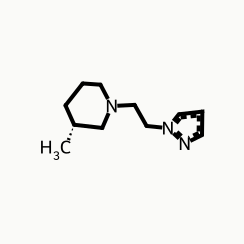 C[C@@H]1CCCN(CCn2cccn2)C1